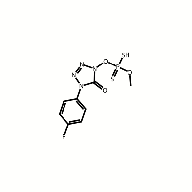 COP(=S)(S)On1nnn(-c2ccc(F)cc2)c1=O